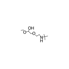 CCOC(O)COCCNC(C)(C)C